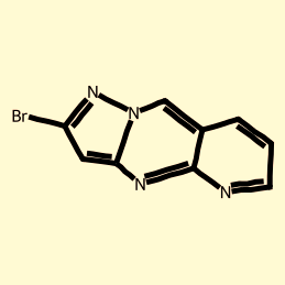 Brc1cc2nc3ncccc3cn2n1